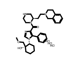 COC[C@]1(O)CCCC[C@H]1n1cnc(C(=O)N2CCNC[C@H]2CCN2CCc3ccccc3C2)c1-c1ccccc1.Cl.Cl.Cl